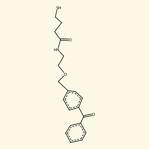 O=C(CCCS)NCCOCc1ccc(C(=O)c2ccccc2)cc1